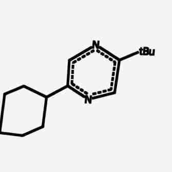 CC(C)(C)c1cnc(C2CCCCC2)cn1